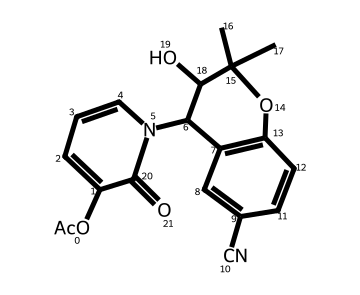 CC(=O)Oc1cccn(C2c3cc(C#N)ccc3OC(C)(C)C2O)c1=O